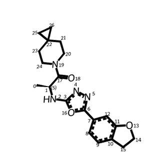 C[C@H](Nc1nnc(-c2ccc3c(c2)OCC3)o1)C(=O)N1CCC2(CC1)CC2